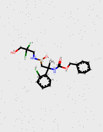 CC(C[S+]([O-])NCC(F)(F)CO)(NC(=O)OCc1ccccc1)c1ccccc1F